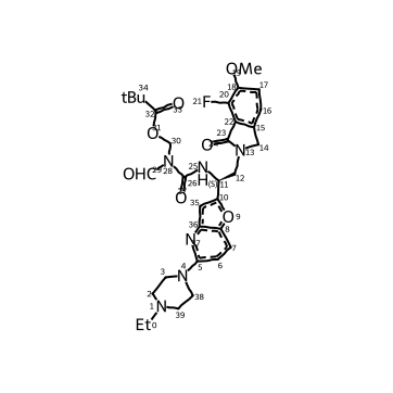 CCN1CCN(c2ccc3oc([C@H](CN4Cc5ccc(OC)c(F)c5C4=O)NC(=O)N(C=O)COC(=O)C(C)(C)C)cc3n2)CC1